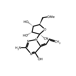 C=C/C=C1/C(O)=NC(N)=NN1[C@]1(C#N)O[C@H](COC)[C@@H](O)[C@H]1O